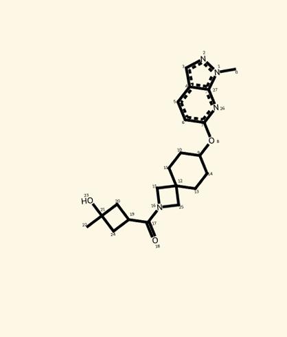 Cn1ncc2ccc(OC3CCC4(CC3)CN(C(=O)C3CC(C)(O)C3)C4)nc21